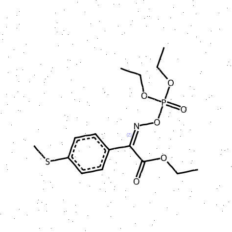 CCOC(=O)/C(=N\OP(=O)(OCC)OCC)c1ccc(SC)cc1